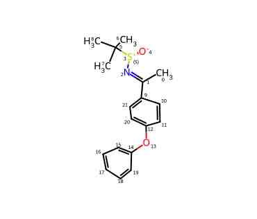 CC(=N[S@+]([O-])C(C)(C)C)c1ccc(Oc2ccccc2)cc1